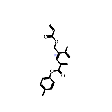 C=CC(=O)OC/C(=C/C(=C)C(=O)Oc1ccc(C)cc1)C(=C)C